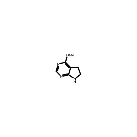 COc1ncnc2c1CCN2